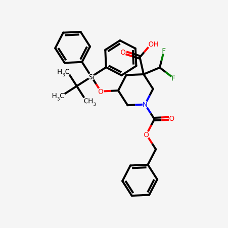 CC(C)(C)[Si](OC1CN(C(=O)OCc2ccccc2)CC(C(=O)O)(C(F)F)C1)(c1ccccc1)c1ccccc1